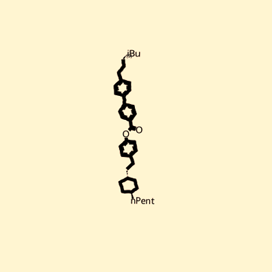 CCCCC[C@H]1CC[C@H](CCc2ccc(OC(=O)c3ccc(-c4ccc(CCC[C@@H](C)CC)cc4)cc3)cc2)CC1